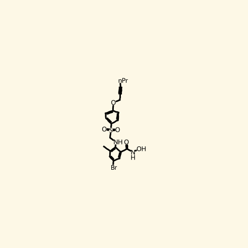 CCCC#CCOc1ccc(S(=O)(=O)CNc2c(C)cc(Br)cc2C(=O)NO)cc1